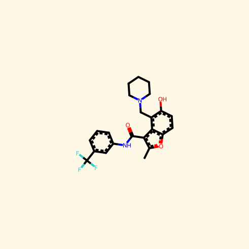 Cc1oc2ccc(O)c(CN3CCCCC3)c2c1C(=O)Nc1cccc(C(F)(F)F)c1